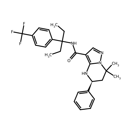 CCC(CC)(NC(=O)c1cnn2c1N[C@H](c1ccccc1)CC2(C)C)c1ccc(C(F)(F)F)cc1